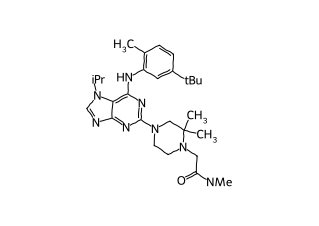 CNC(=O)CN1CCN(c2nc(Nc3cc(C(C)(C)C)ccc3C)c3c(ncn3C(C)C)n2)CC1(C)C